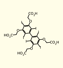 O=C(O)COc1c(I)c(OCC(=O)O)c(I)c(-c2c(I)c(OCC(=O)O)c(I)c(OCC(=O)O)c2I)c1I